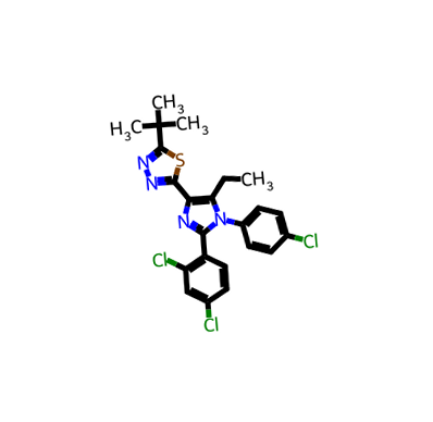 CCc1c(-c2nnc(C(C)(C)C)s2)nc(-c2ccc(Cl)cc2Cl)n1-c1ccc(Cl)cc1